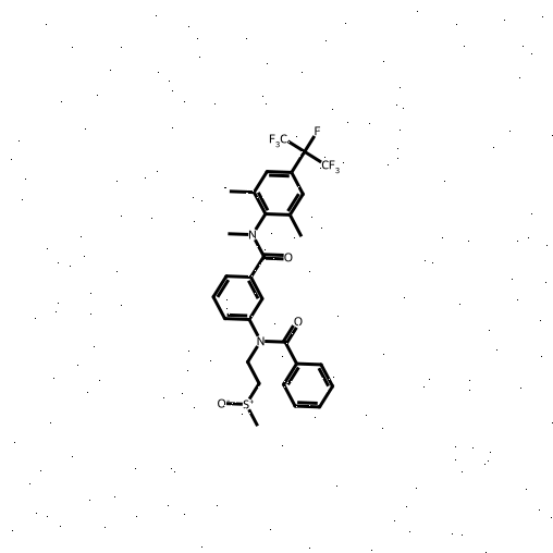 Cc1cc(C(F)(C(F)(F)F)C(F)(F)F)cc(C)c1N(C)C(=O)c1cccc(N(CC[S+](C)[O-])C(=O)c2ccccc2)c1